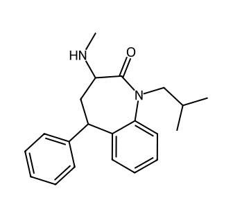 CNC1CC(c2ccccc2)c2ccccc2N(CC(C)C)C1=O